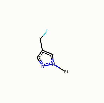 CCn1[c]c(CF)[c]n1